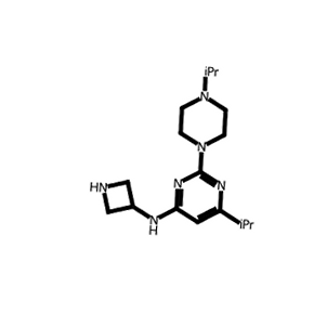 CC(C)c1cc(NC2CNC2)nc(N2CCN(C(C)C)CC2)n1